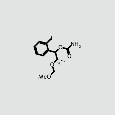 COCO[C@@H](C)C(OC(N)=O)c1ccccc1I